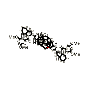 COCC[C@H](NC(=O)OC)C(=O)N1[C@H](c2nc3cc(-c4cc5ccc4CCc4ccc(c(-c6ccc7[nH]c([C@@H]8C[C@@H]9CCCC[C@@H]9N8C(=O)[C@H](CCOC)NC(=O)OC)nc7c6)c4)C[C@H]5C)ccc3[nH]2)C[C@@H]2CCCC[C@@H]21